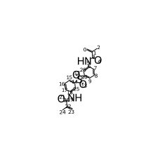 C=C(C)C(=O)Nc1cccc(S(=O)(=O)c2cccc(NC(=O)C(=C)C)c2)c1